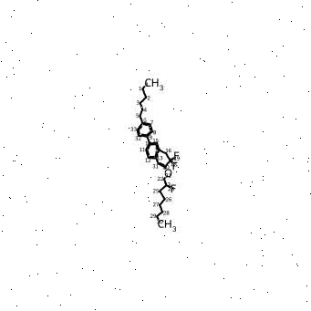 CCCCCCc1ccc(-c2ccc3c(c2)CC(F)(F)C(OCC(F)CCCCCC)=C3)cc1